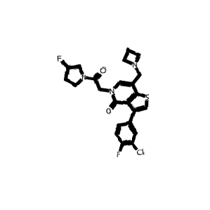 O=C(Cn1cc(CN2CCC2)c2scc(-c3ccc(F)c(Cl)c3)c2c1=O)N1CCC(F)C1